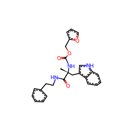 C[C@](Cc1c[nH]c2ccccc12)(NC(=O)OCc1ccco1)C(=O)NCCc1ccccc1